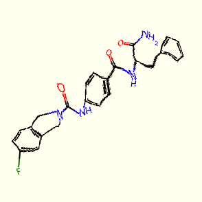 NC(=O)[C@@H](Cc1ccccc1)NC(=O)c1ccc(NC(=O)N2Cc3ccc(F)cc3C2)cc1